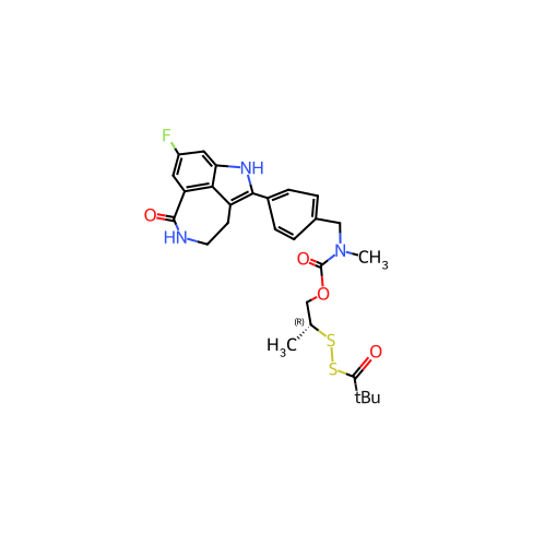 C[C@H](COC(=O)N(C)Cc1ccc(-c2[nH]c3cc(F)cc4c3c2CCNC4=O)cc1)SSC(=O)C(C)(C)C